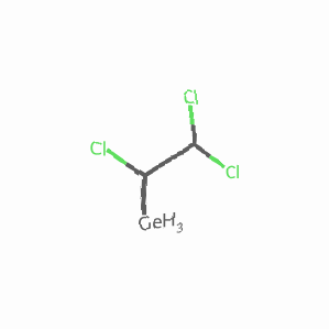 ClC(Cl)[CH](Cl)[GeH3]